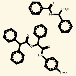 COc1ccc(NC(=O)C(OC(=O)C(c2ccccc2)c2ccccc2)c2ccccc2)cc1.O=C(NC(C(=O)O)c1ccccc1)c1ccccc1